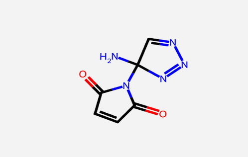 NC1(N2C(=O)C=CC2=O)C=NN=N1